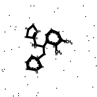 Cc1cccc(C(Cc2cccnc2)NC2=NCCC2)c1C